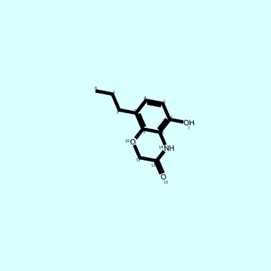 CCCc1ccc(O)c2c1OCC(=O)N2